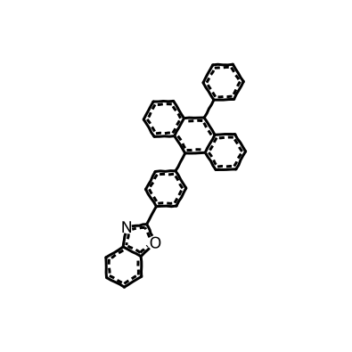 c1ccc(-c2c3ccccc3c(-c3ccc(-c4nc5ccccc5o4)cc3)c3ccccc23)cc1